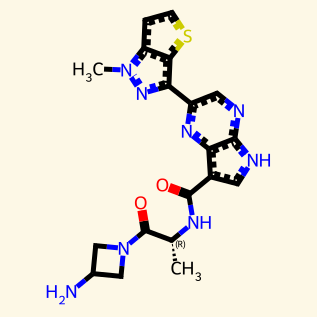 C[C@@H](NC(=O)c1c[nH]c2ncc(-c3nn(C)c4ccsc34)nc12)C(=O)N1CC(N)C1